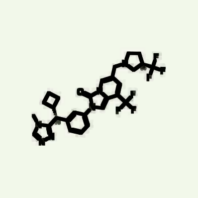 Cn1cnnc1[C@@H](c1cccc(-n2cc3c(C(F)(F)F)cc(CN4CC[C@@H](C(F)(F)F)C4)cn3c2=O)c1)C1CCC1